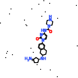 N[C@@H]1CCC(NC2CCc3cc(-n4ccc(NC(=O)N5CCNCC5)nc4=O)ccc3C2)C1